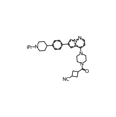 CC(C)N1CCC(c2ccc(-c3cc4c(N5CCN(C(=O)C6CC(C#N)C6)CC5)ccnn4c3)cc2)CC1